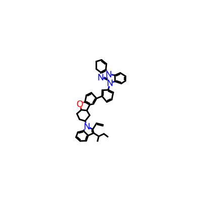 C=Cc1c(C(C)CC)c2ccccc2n1C1CCC2Oc3ccc(-c4cccc(-n5c6ccccc6n6c7c(nc56)CCC=C7)c4)cc3C2C1